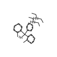 CCNCC.CCNCC.[2H]C(c1ccccc1)(c1ccccc1C)c1ccccc1C